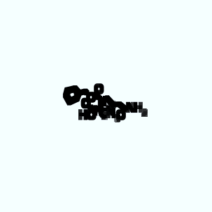 C[C@@H](C(=O)O)N(C[C@H](N)CC(N)=O)C(=O)OCc1ccccc1